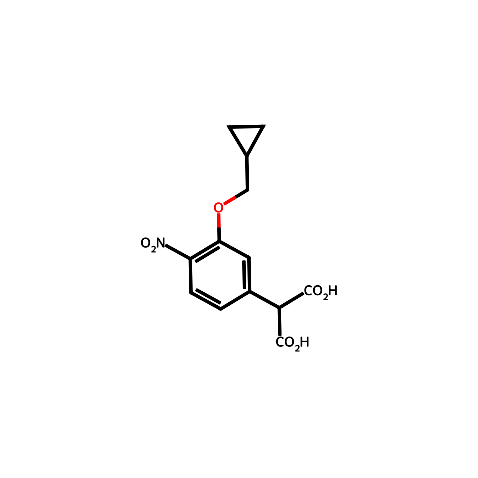 O=C(O)C(C(=O)O)c1ccc([N+](=O)[O-])c(OCC2CC2)c1